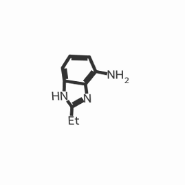 CCc1nc2c(N)cccc2[nH]1